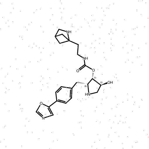 O=C(NCCC12CC(CN1)C2)O[C@@H]1[C@@H](O)CN[C@@H]1Cc1ccc(-c2cnco2)cc1